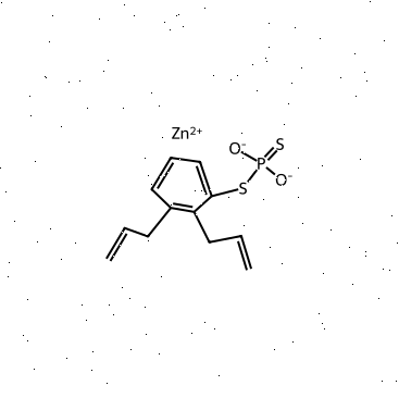 C=CCc1cccc(SP([O-])([O-])=S)c1CC=C.[Zn+2]